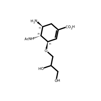 CC(=O)N[C@@H]1[C@@H](N)CC(C(=O)O)=C[C@H]1OCC(O)CO